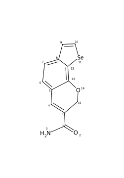 NC(=O)C1=Cc2ccc3cc[se]c3c2OC1